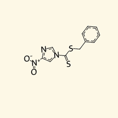 O=[N+]([O-])c1cn(C(=S)SCc2ccccc2)cn1